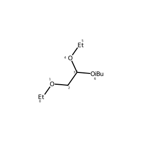 CCOC[C](OCC)OCC(C)C